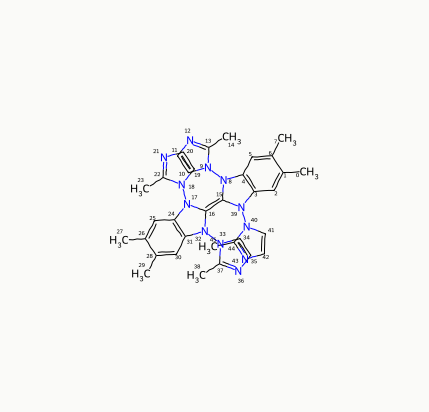 Cc1cc2c(cc1C)N(n1ccnc1C)C(=C1N(n3ccnc3C)c3cc(C)c(C)cc3N1n1ccnc1C)N2n1ccnc1C